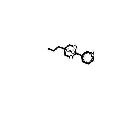 CCCC12COC(c3cccnc3)(OC1)OC2